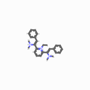 CC[n+]1c(C(=Cc2ccccc2)N(C)C)cccc1C(=Cc1ccccc1)N(C)C